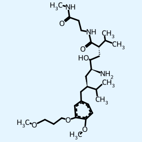 CNC(=O)CCNC(=O)[C@@H](C[C@H](O)[C@@H](N)C[C@H](Cc1ccc(OC)c(OCCCOC)c1)C(C)C)C(C)C